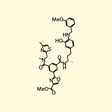 COC(=O)c1coc(-c2cc(C(=O)N[C@@H](C)CCc3ccc(NCc4cccc(OC)c4)c(O)c3)cc(C(=O)N(C)Cc3nc(C)cs3)c2)n1